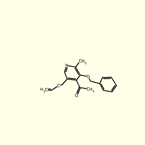 C=CCCc1cnc(C)c(OCc2ccccc2)c1C(C)=O